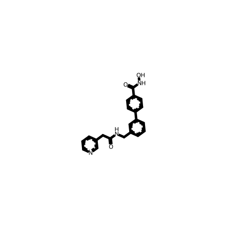 O=C(Cc1cccnc1)NCc1cccc(-c2ccc(C(=O)NO)cc2)c1